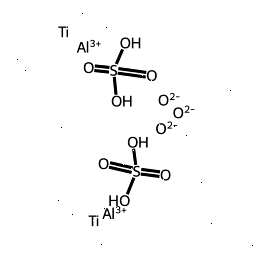 O=S(=O)(O)O.O=S(=O)(O)O.[Al+3].[Al+3].[O-2].[O-2].[O-2].[Ti].[Ti]